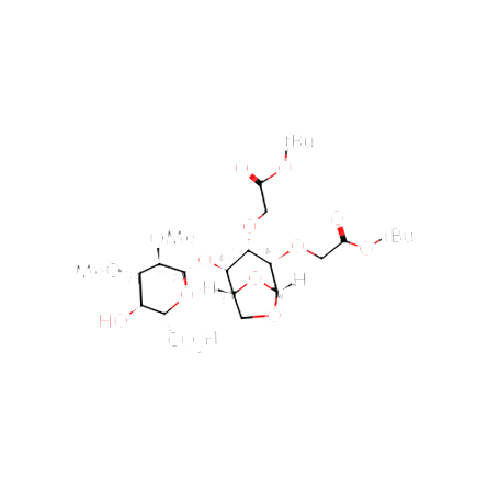 CO[C@H]1[C@H](O[C@H]2[C@H](OCC(=O)OC(C)(C)C)[C@@H](OCC(=O)OC(C)(C)C)[C@@H]3OC[C@H]2O3)O[C@H](C(=O)O)[C@@H](O)[C@@H]1OC